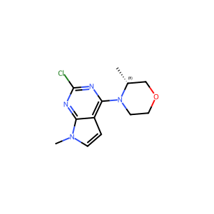 C[C@@H]1COCCN1c1nc(Cl)nc2c1ccn2C